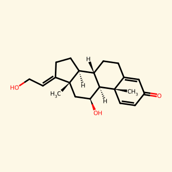 C[C@]12C=CC(=O)C=C1CC[C@@H]1[C@@H]2[C@@H](O)C[C@]2(C)/C(=C/CO)CC[C@@H]12